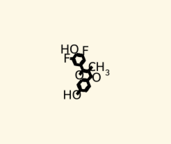 Cc1c(-c2cc(F)c(O)c(F)c2)oc2cc(O)ccc2c1=O